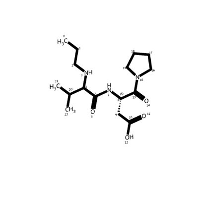 CCCNC(C(=O)N[C@@H](CC(=O)O)C(=O)N1CCCC1)C(C)C